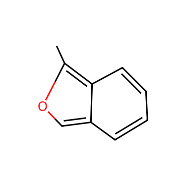 Cc1occ2ccccc12